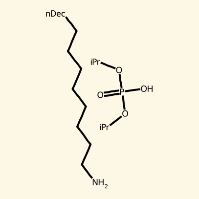 CC(C)OP(=O)(O)OC(C)C.CCCCCCCCCCCCCCCCCCN